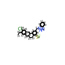 C=C1c2cc(Cn3nnc4ccccc43)cc(SF)c2CCC1Cc1ccc(Cl)c(CC)c1